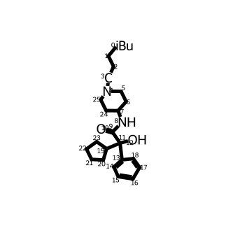 CCC(C)CCCN1CCC(NC(=O)C(O)(c2ccccc2)C2CCCC2)CC1